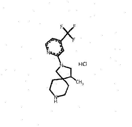 CC1CN(c2cc(C(F)(F)F)ccn2)CC12CCNCC2.Cl